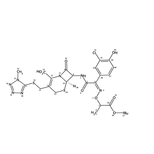 CC(O/N=C(\C(=O)NC1C(=O)N2C(C(=O)O)=C(CSc3nnnn3C)CS[C@H]12)c1ccc(O)c(Cl)c1)C(=O)OC(C)(C)C